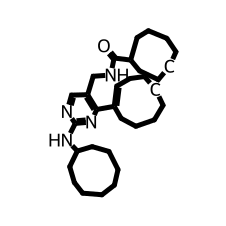 O=C(NCc1cnc(NC2CCCCCCCC2)nc1/C1=C/CCCCCCC1)C1CCCCCCC1